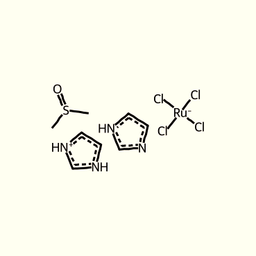 CS(C)=O.[Cl][Ru-]([Cl])([Cl])[Cl].c1c[nH+]c[nH]1.c1c[nH]cn1